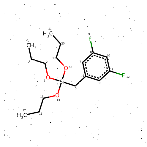 CCCO[Si](Cc1cc(F)cc(F)c1)(OCCC)OCCC